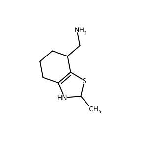 CC1NC2=C(S1)C(CN)CCC2